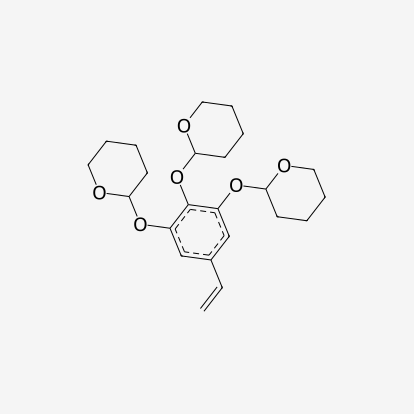 C=Cc1cc(OC2CCCCO2)c(OC2CCCCO2)c(OC2CCCCO2)c1